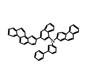 c1ccc(-c2cccc(N(c3ccc4c(ccc5ccccc54)c3)c3cc(-c4ccc5ccc6c7ccccc7ccc6c5c4)cc4ccccc34)c2)cc1